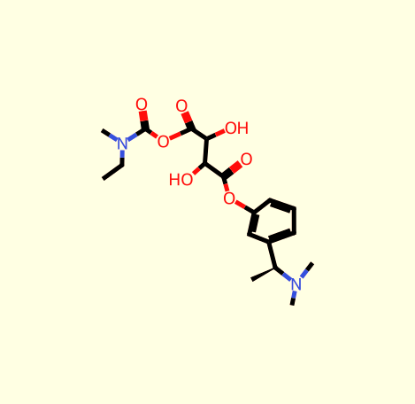 CCN(C)C(=O)OC(=O)C(O)C(O)C(=O)Oc1cccc([C@H](C)N(C)C)c1